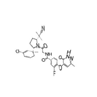 Cc1cc(Oc2ccc(C(=O)NCC(=O)N3[C@H](C4(C)C=C(Cl)C=CC4)CC[C@@H]3C(C)(C)C#N)cc2F)c(=O)[nH]n1